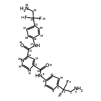 NCC(F)(F)c1ccc(NC(=O)c2cc(C(=O)Nc3ccc(C(F)(F)CN)cc3)ncn2)cc1